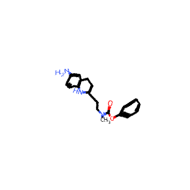 CN(CCC1CCc2cc(N)ccc2N1)C(=O)Oc1ccccc1